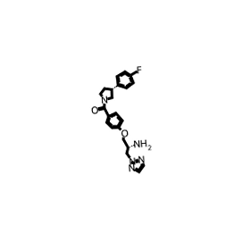 N[C@@H](COc1ccc(C(=O)N2CC[C@H](c3ccc(F)cc3)C2)cc1)Cn1nccn1